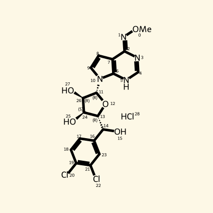 CON=c1nc[nH]c2c1ccn2[C@@H]1O[C@H](C(O)c2ccc(Cl)c(Cl)c2)[C@@H](O)[C@H]1O.Cl